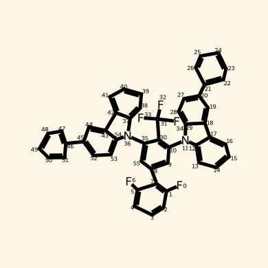 Fc1cccc(F)c1-c1cc(-n2c3ccccc3c3cc(-c4ccccc4)ccc32)c(C(F)(F)F)c(-n2c3ccccc3c3cc(-c4ccccc4)ccc32)c1